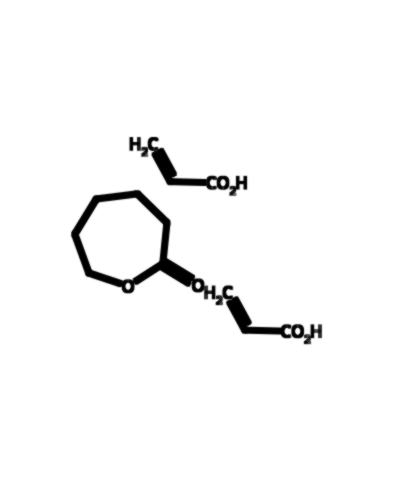 C=CC(=O)O.C=CC(=O)O.O=C1CCCCCO1